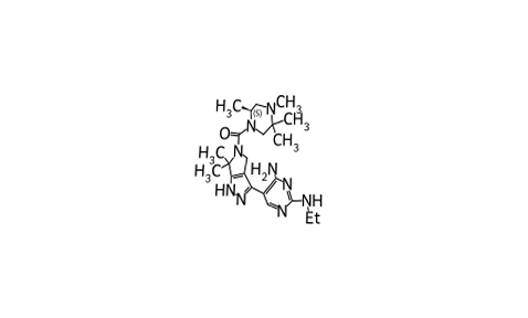 CCNc1ncc(-c2n[nH]c3c2CN(C(=O)N2CC(C)(C)N(C)C[C@@H]2C)C3(C)C)c(N)n1